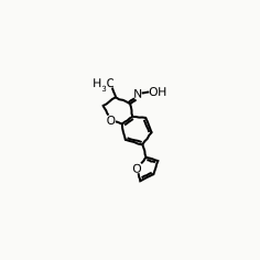 CC1COc2cc(-c3ccco3)ccc2C1=NO